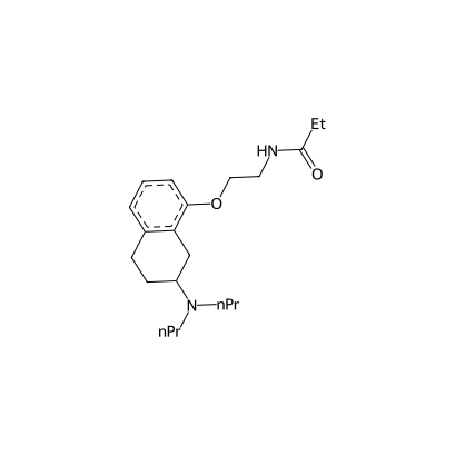 CCCN(CCC)C1CCc2cccc(OCCNC(=O)CC)c2C1